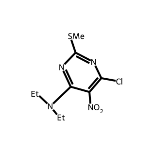 CCN(CC)c1nc(SC)nc(Cl)c1[N+](=O)[O-]